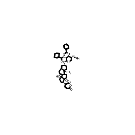 C[C@]12CC[C@H](OC3OC[C@H](N=[N+]=[N-])[C@@H](OC(=O)c4ccccc4)[C@H]3OC(=O)c3ccccc3)C=C1CCC1C2CC[C@]2(C)[C@@H](c3ccc(=O)oc3)CC[C@]12O